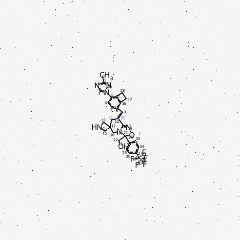 Cc1ncn(-c2ccc(/C=C3\CC4(CNC4)CN4C3=NOC4(CO)c3ccc(S(F)(F)(F)(F)F)cc3)c3c2CC3)n1